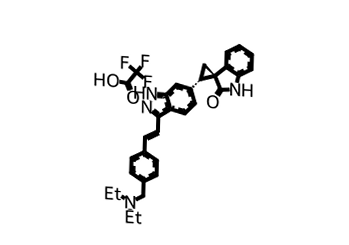 CCN(CC)Cc1ccc(C=Cc2n[nH]c3cc([C@@H]4C[C@@]45C(=O)Nc4ccccc45)ccc23)cc1.O=C(O)C(F)(F)F